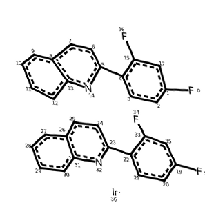 Fc1ccc(-c2ccc3ccccc3n2)c(F)c1.Fc1ccc(-c2ccc3ccccc3n2)c(F)c1.[Ir]